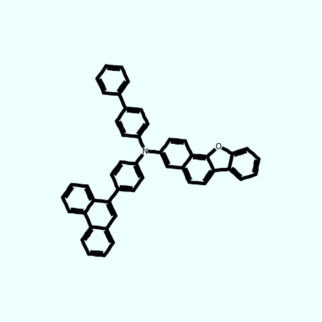 c1ccc(-c2ccc(N(c3ccc(-c4cc5ccccc5c5ccccc45)cc3)c3ccc4c(ccc5c6ccccc6oc45)c3)cc2)cc1